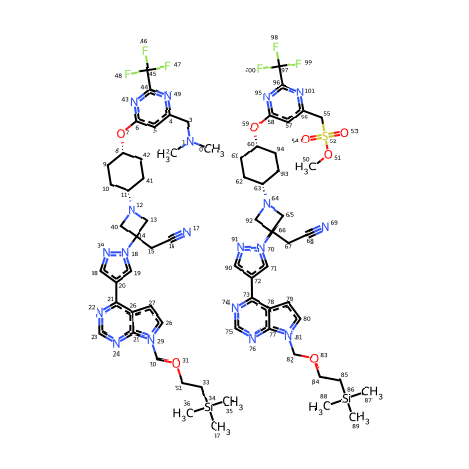 CN(C)Cc1cc(O[C@H]2CC[C@@H](N3CC(CC#N)(n4cc(-c5ncnc6c5ccn6COCC[Si](C)(C)C)cn4)C3)CC2)nc(C(F)(F)F)n1.COS(=O)(=O)Cc1cc(O[C@H]2CC[C@@H](N3CC(CC#N)(n4cc(-c5ncnc6c5ccn6COCC[Si](C)(C)C)cn4)C3)CC2)nc(C(F)(F)F)n1